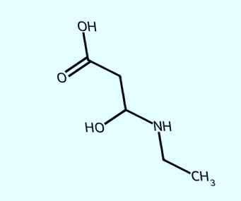 CCNC(O)CC(=O)O